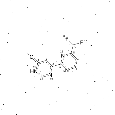 O=c1cc(-c2nccc(C(F)F)n2)nc[nH]1